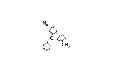 Cc1ncc(-c2ccc(C#N)cc2OCc2ccccc2)o1